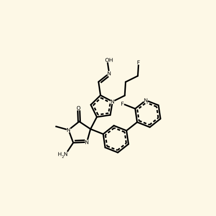 CN1C(=O)C(c2cccc(-c3cccnc3F)c2)(c2cc(C=NO)n(CCCF)c2)N=C1N